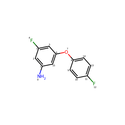 Nc1cc(F)cc(Oc2ccc(F)cc2)c1